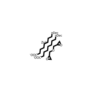 C(OCC1CO1)C1CO1.CCCCCCCCCCCCCCCCCC(=O)[O-].CCCCCCCCCCCCCCCCCC(=O)[O-].[Zn+2]